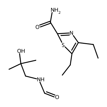 CC(C)(O)CNC=O.CCc1nc(C(N)=O)sc1CC